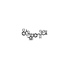 Cc1noc(-c2ccc(CNC(CC3CC3)C(=O)O)cc2)c1NC(=O)OC(C)c1ccccc1Cl